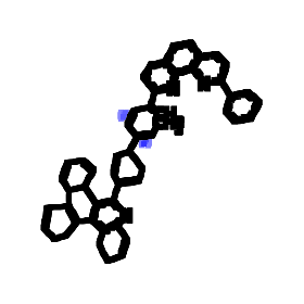 C=C(/C=C\C(=C/C)C1C=CC(c2nc3c(c4c2C2C=CC=CC2C2=C4CCC=C2)CCC=C3)=CC1)c1ccc2ccc3ccc(-c4ccccc4)nc3c2n1